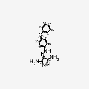 NC1=NN=C(N)C1=NNc1ccc(Oc2ccccc2)cc1